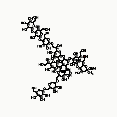 CO[C@]1(C)C[C@@H](O)[C@@H](O[C@H]2OC([C@@H](O)CO)[C@@H](O)[C@H](O[C@H]3OC([C@@H](O)CO)[C@@H](O)[C@H](O)C3O[C@H]3OC([C@H](O)CO[C@@H]4OC(CO)[C@H](O[C@H]5OC(CO)[C@@H](O)[C@H](O[C@H]6OC(CO)[C@@H](O)[C@H](O)C6O)C5O)[C@H](O)C4O)[C@@H](O)[C@H](O)C3O[C@H]3OC([C@H](O)CO)[C@@H](O)[C@H](O)C3O[C@H]3OC(COC4COC(CO[C@H]5OC(CO)[C@@H](O)[C@H](O)C5O)[C@@H](O)[C@@H]4O)[C@@H](O)[C@H](O)C3O)C2O)C([C@H](O)CO)O1